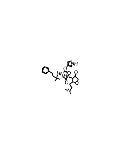 CN(C)CCC1OCC(=O)C1NC(=O)[C@H](CC(C)(C)CCc1ccccc1)NC(=O)Oc1cc[nH]c1